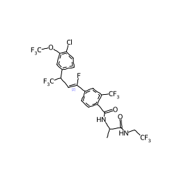 CC(NC(=O)c1ccc(/C(F)=C/C(c2ccc(Cl)c(OC(F)(F)F)c2)C(F)(F)F)cc1C(F)(F)F)C(=O)NCC(F)(F)F